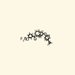 O=C(c1cccc(OC(F)(F)F)c1)N1CCCN2C[C@H](Oc3cnc(C4CC4)cn3)C[C@@H]2C1